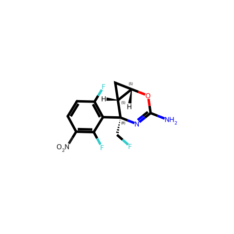 NC1=N[C@@](CF)(c2c(F)ccc([N+](=O)[O-])c2F)[C@@H]2C[C@@H]2O1